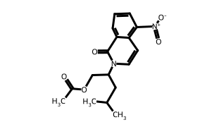 CC(=O)OCC(CC(C)C)n1ccc2c([N+](=O)[O-])cccc2c1=O